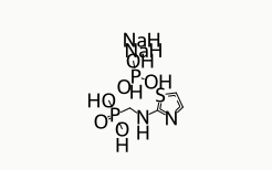 O=P(O)(O)CNc1nccs1.O=[PH](O)O.[NaH].[NaH]